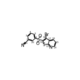 N#Cc1cccc(S(=O)(=O)c2sc3ncccc3c2Br)c1